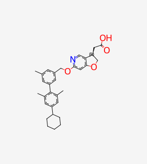 Cc1cc(COc2cc3c(cn2)[C@@H](CC(=O)O)CO3)cc(-c2c(C)cc(C3CCCCC3)cc2C)c1